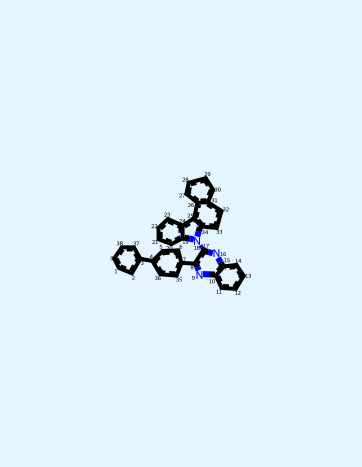 c1ccc(-c2ccc(-c3nc4ccccc4nc3-n3c4ccccc4c4c5ccccc5ccc43)cc2)cc1